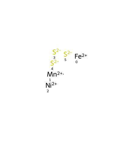 [Fe+2].[Mn+2].[Ni+2].[S-2].[S-2].[S-2]